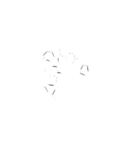 O=C(NCc1cc(Cl)cc(Cl)c1)c1nc(NC2CCN(Cc3ccccc3)CC2)c2cccnc2c1O